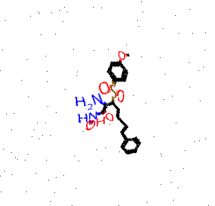 COc1ccc(S(=O)(=O)C(CCCCc2ccccc2)C(N)C(=O)NO)cc1